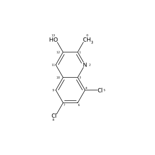 Cc1nc2c(Cl)cc(Cl)cc2cc1O